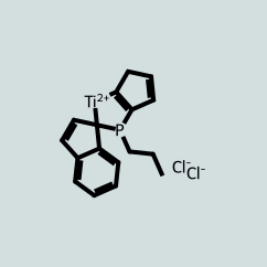 CCCP1C2=[C](CC=C2)[Ti+2][C]12C=Cc1ccccc12.[Cl-].[Cl-]